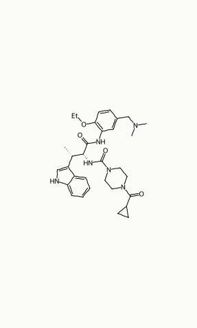 CCOc1ccc(CN(C)C)cc1NC(=O)[C@H](NC(=O)N1CCN(C(=O)C2CC2)CC1)[C@@H](C)c1c[nH]c2ccccc12